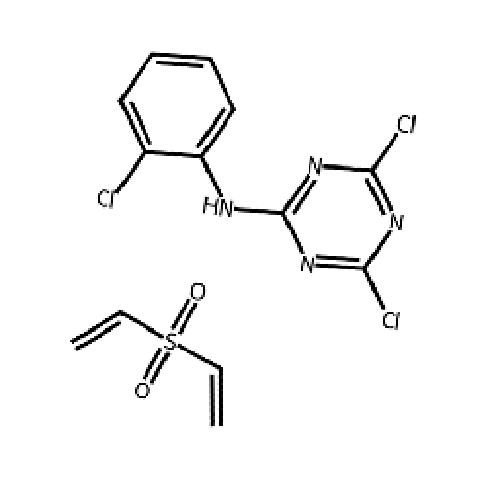 C=CS(=O)(=O)C=C.Clc1nc(Cl)nc(Nc2ccccc2Cl)n1